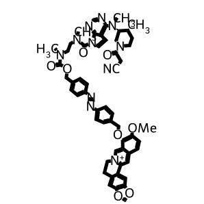 COc1ccc2cc3[n+](cc2c1OCc1ccc(/N=N/c2ccc(COC(=O)N(C)CCN(C)C(=O)n4ccc5c(N(C)[C@H]6CN(C(=O)CC#N)CC[C@H]6C)ncnc54)cc2)cc1)CCc1cc2c(cc1-3)OCO2